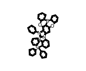 c1ccc(-n2c3c4c5c(cc3n3c6cccc([Si](c7ccccc7)(c7ccccc7)c7ccccc7)c6nc23)Oc2ccccc2B5c2ccccc2O4)cc1